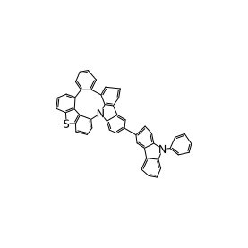 c1ccc(-n2c3ccccc3c3cc(-c4ccc5c(c4)c4cccc6c7ccccc7c7cccc8sc9cccc(c9c87)n5c64)ccc32)cc1